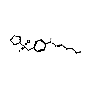 CCCC/C=N/Nc1ccc(CS(=O)(=O)N2CCCC2)cc1